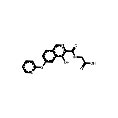 O=C(O)CNC(=O)c1ncc2ccc(Sc3ccccn3)cc2c1O